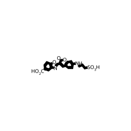 O=C(O)c1ccc2oc(-c3cc4ccc(NCCCS(=O)(=O)O)cc4oc3=O)nc2c1